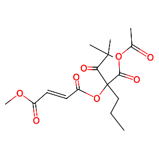 CCCC(OC(=O)C=CC(=O)OC)(C(=O)OC(C)=O)C(=O)C(C)(C)C